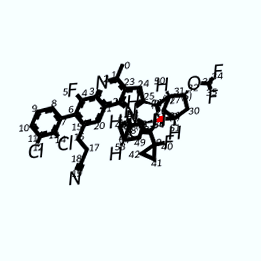 Cc1nc2c(F)c(-c3cccc(Cl)c3Cl)c(CCC#N)cc2c2c1cc([C@H]1[C@H]3C[C@H](C[C@@H]3OC(F)F)N1C(=O)C1(F)CC1)n2[C@H]1[C@H]2CN[C@@H]1C2